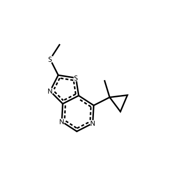 CSc1nc2ncnc(C3(C)CC3)c2s1